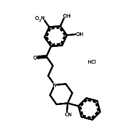 Cl.N#CC1(c2ccccc2)CCN(CCC(=O)c2cc(O)c(O)c([N+](=O)[O-])c2)CC1